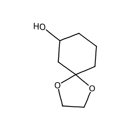 OC1CCCC2(C1)OCCO2